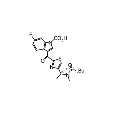 C[C@@H](c1csc(C(=O)c2cn(C(=O)O)c3cc(F)ccc23)n1)N(C)[S@@+]([O-])C(C)(C)C